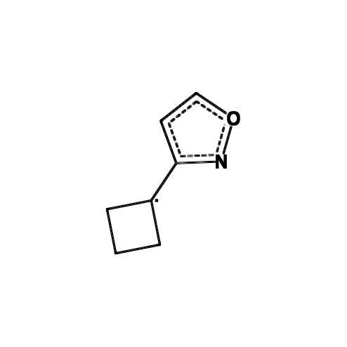 c1cc([C]2CCC2)no1